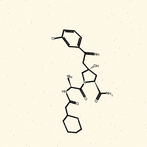 CC(C)(C)[C@H](NC(=O)CC1CCCCC1)C(=O)N1C[C@@](O)(CC(=N)c2cccc(Cl)c2)C[C@H]1C(N)=O